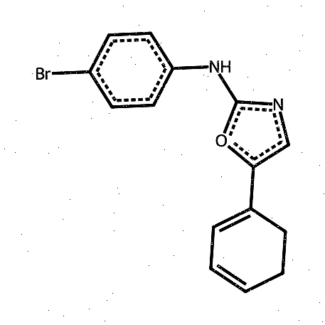 Brc1ccc(Nc2ncc(C3=CC=CCC3)o2)cc1